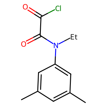 CCN(C(=O)C(=O)Cl)c1cc(C)cc(C)c1